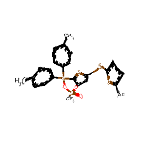 CC(=O)c1ccc(Sc2ccc(S(OS(=O)(=O)C(F)(F)F)(c3ccc(C)cc3)c3ccc(C)cc3)s2)s1